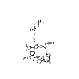 COc1cc(C(=O)N(C)c2ccc(C)cc2OCCCCCC(=O)N2CCN(C)CC2)ccc1C(=O)Nc1cccc2c1nc(-c1ncc[nH]1)n2C.Cl.Cl.Cl